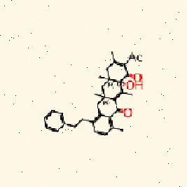 CC(=O)C1=C(C)C[C@@]2(C)C[C@@]3(C)Cc4c(CCc5ccccc5)ccc(C)c4C(=O)C3=C(C)[C@@]2(O)C1=O